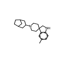 Cc1ccc2c(c1)C1(CCN(C3CC4CCC(C4)C3)CC1)CN2